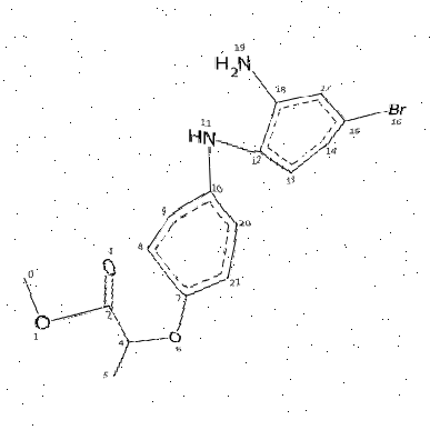 COC(=O)C(C)Oc1ccc(Nc2ccc(Br)cc2N)cc1